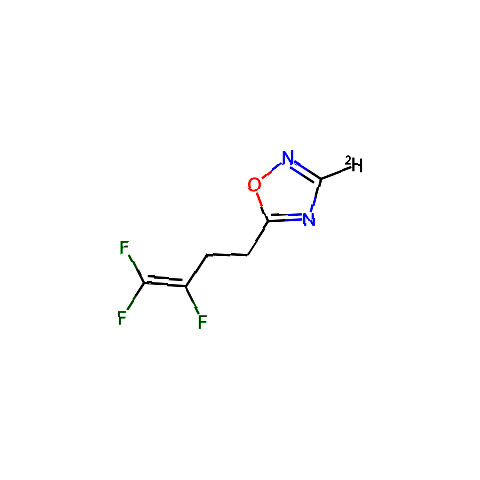 [2H]c1noc(CCC(F)=C(F)F)n1